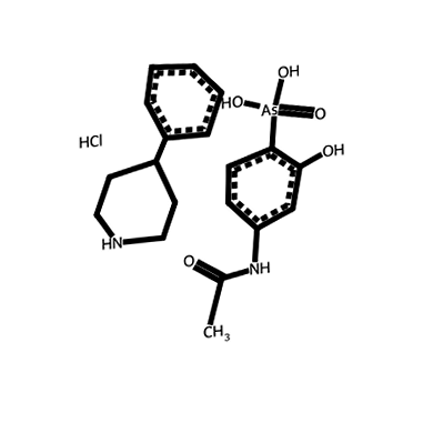 CC(=O)Nc1ccc([As](=O)(O)O)c(O)c1.Cl.c1ccc(C2CCNCC2)cc1